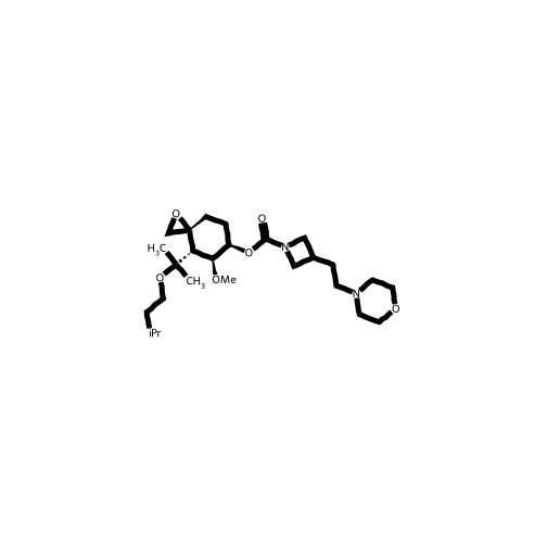 CO[C@H]1[C@H](C(C)(C)OCCC(C)C)[C@]2(CC[C@H]1OC(=O)N1CC(CCN3CCOCC3)C1)CO2